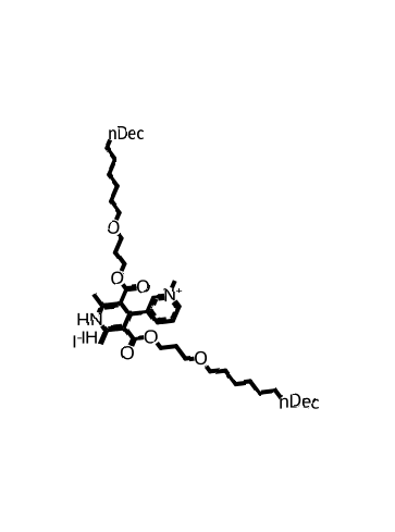 CCCCCCCCCCCCCCCCOCCCOC(=O)C1=C(C)NC(C)=C(C(=O)OCCCOCCCCCCCCCCCCCCCC)C1c1ccc[n+](C)c1.I.[I-]